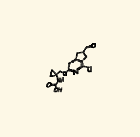 O=CC1Cc2cc(OCC3(NC(=O)O)CC3)nc(Cl)c2C1